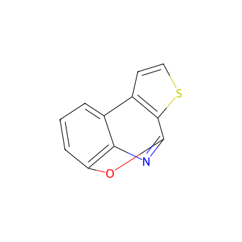 c1cc2oc3nc2c(c1)c1ccsc31